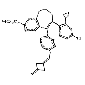 C=C1CC(=Cc2ccc(C3=C(c4ccc(Cl)cc4Cl)CCCc4cc(C(=O)O)ccc43)cc2)C1